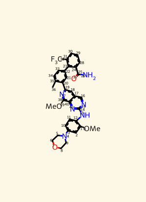 COc1cc(N2CCOCC2)ccc1Nc1ncc2cc(-c3cc(-c4c(C(N)=O)cccc4C(F)(F)F)ccc3C)nc(OC)c2n1